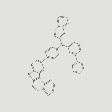 c1ccc(-c2cccc(N(c3ccc(-c4ccc5sc6ccc7ccccc7c6c5c4)cc3)c3ccc4ccccc4c3)c2)cc1